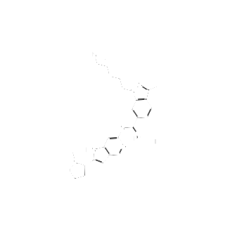 Cc1nn(CCOCCN)c2cc(C(=O)Nc3cc4[nH]c([C@H]5CCCN5C)cc4cn3)ccc12.Cl.Cl